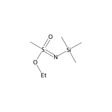 CCOS(C)(=O)=N[Si](C)(C)C